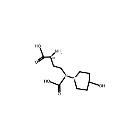 N[C@@H](CCN(C(=O)O)N1CCC(O)CC1)C(=O)O